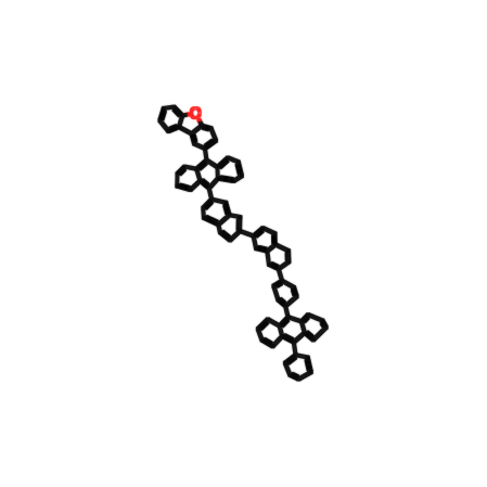 c1ccc(-c2c3ccccc3c(-c3ccc(-c4ccc5ccc(-c6ccc7ccc(-c8c9ccccc9c(-c9ccc%10oc%11ccccc%11c%10c9)c9ccccc89)cc7c6)cc5c4)cc3)c3ccccc23)cc1